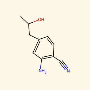 CC(O)Cc1ccc(C#N)c(N)c1